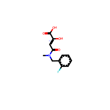 CN(Cc1ccccc1F)C(=O)/C=C(\O)C(=O)O